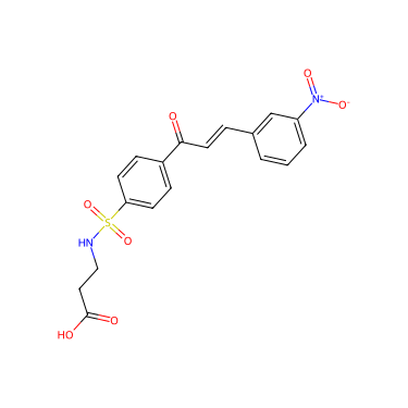 O=C(O)CCNS(=O)(=O)c1ccc(C(=O)C=Cc2cccc([N+](=O)[O-])c2)cc1